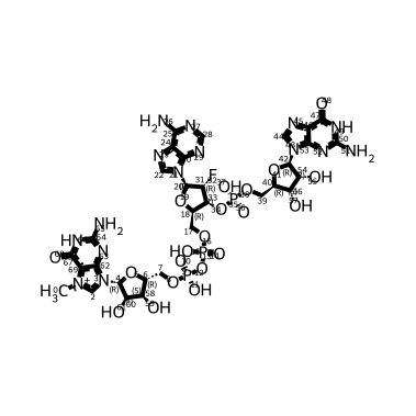 C[n+]1cn([C@@H]2O[C@H](COP(=O)(O)OP(=O)(O)OC[C@H]3O[C@@H](n4cnc5c(N)ncnc54)[C@H](F)[C@@H]3OP(=O)(O)OC[C@H]3O[C@@H](n4cnc5c(=O)[nH]c(N)nc54)[C@H](O)[C@@H]3O)[C@@H](O)[C@H]2O)c2nc(N)[nH]c(=O)c21